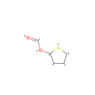 O=[C]OC1CCCS1